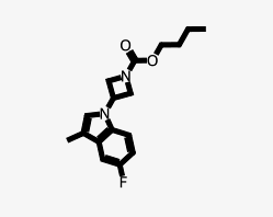 CCCCOC(=O)N1CC(n2cc(C)c3cc(F)ccc32)C1